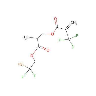 C=C(C(=O)OCC(C)C(=O)OCC(F)(F)S)C(F)(F)F